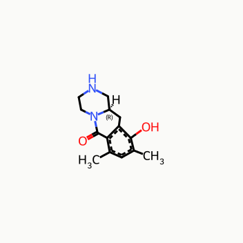 Cc1cc(C)c2c(c1O)C[C@@H]1CNCCN1C2=O